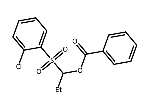 CCC(OC(=O)c1ccccc1)S(=O)(=O)c1ccccc1Cl